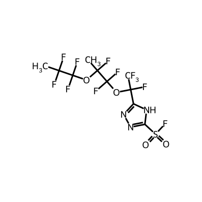 CC(F)(F)C(F)(F)OC(C)(F)C(F)(F)OC(F)(c1nnc(S(=O)(=O)F)[nH]1)C(F)(F)F